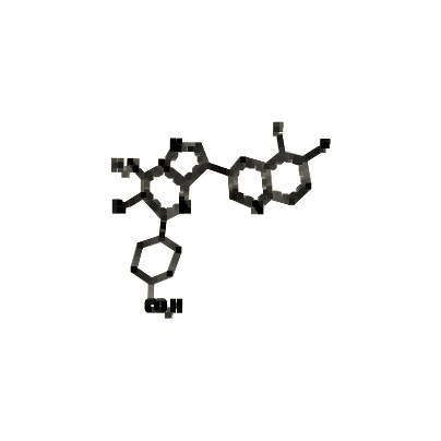 Nc1c(Br)c(C2CCC(C(=O)O)CC2)nc2c(-c3cnc4ccc(F)c(F)c4c3)cnn12